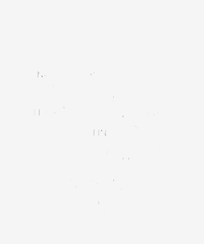 COC(=O)[C@@H](Cc1cc(C)c(N)c(C)c1)NC(=O)OC(C)(C)C